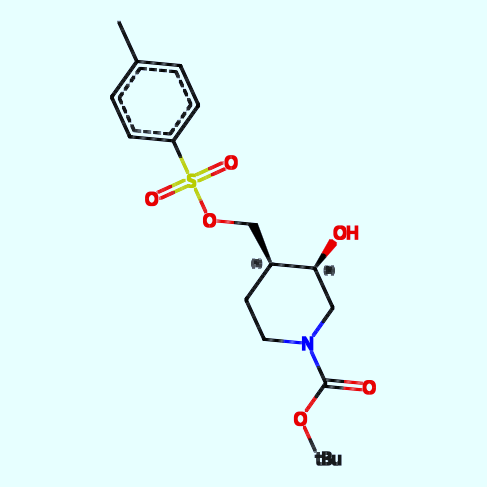 Cc1ccc(S(=O)(=O)OC[C@@H]2CCN(C(=O)OC(C)(C)C)C[C@@H]2O)cc1